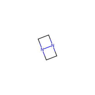 C1CN2CCN12